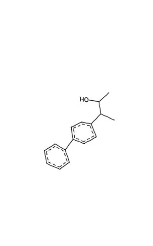 CC(O)C(C)c1ccc(-c2ccccc2)cc1